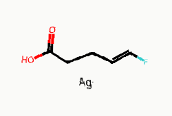 O=C(O)CCC=CF.[Ag]